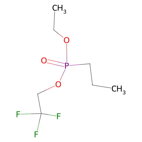 CCCP(=O)(OCC)OCC(F)(F)F